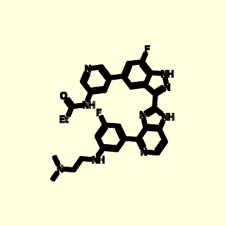 CCC(=O)Nc1cncc(-c2cc(F)c3[nH]nc(-c4nc5c(-c6cc(F)cc(NCCN(C)C)c6)nccc5[nH]4)c3c2)c1